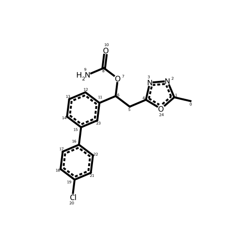 Cc1nnc(CC(OC(N)=O)c2cccc(-c3ccc(Cl)cc3)c2)o1